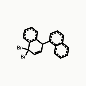 BrC1(Br)C=CC(c2cccc3ccccc23)c2ccccc21